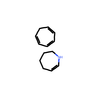 C1=CC=CCC=C1.C1=CNCCCC1